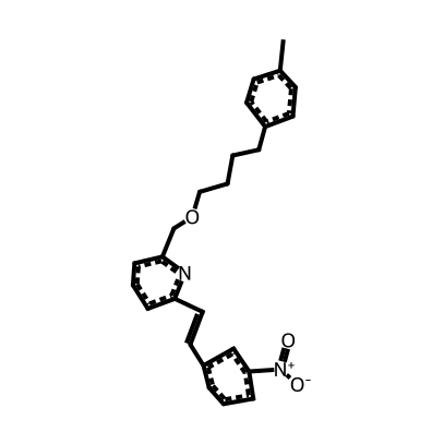 Cc1ccc(CCCCOCc2cccc(C=Cc3cccc([N+](=O)[O-])c3)n2)cc1